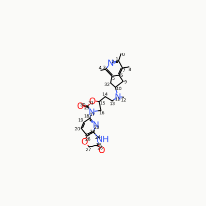 Cc1nc(C)c2c(c1C)CC(N(C)CCC1CN(c3ccc4c(n3)NC(=O)CO4)C(=O)O1)C2